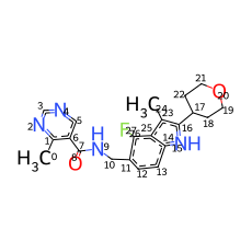 Cc1ncncc1C(=O)NCc1ccc2[nH]c(C3CCOCC3)c(C)c2c1F